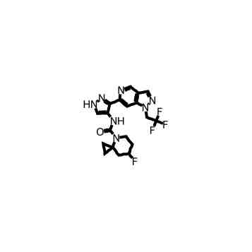 O=C(Nc1c[nH]nc1-c1cc2c(cn1)cnn2CC(F)(F)F)N1CCC(F)CC12CC2